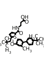 Cc1cc(OC(c2ccc(C(=O)NCCC(=O)O)s2)C(C)(C)C)ccc1-c1ccc(C(C)(C)C)cc1